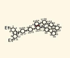 CCc1ccc2c(c1)c1cc(CC)ccc1n2-c1ccc(-c2ccc(-c3ccc(N(c4ccc5c(c4)C(c4ccccc4)(c4ccccc4)c4ccccc4-5)c4ccccc4-c4ccccc4)cc3)cc2)cc1